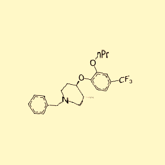 CCCOc1cc(C(F)(F)F)ccc1O[C@@H]1CCN(Cc2ccccc2)C[C@H]1C